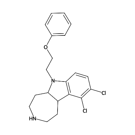 Clc1ccc2c(c1Cl)C1CCNCCC1N2CCOc1ccccc1